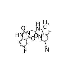 C[C@@H](NC(=O)Cn1c(=O)[nH]c2ccc(F)cc2c1=O)c1ncc(C#N)cc1F